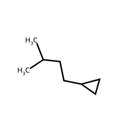 CC(C)CCC1CC1